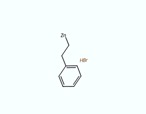 Br.[Zn][CH2]Cc1ccccc1